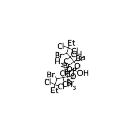 CCC(Cl)(Cl)C(Br)C(C)(C)C(Br)(Br)OP(=O)(O)OC(Br)(Br)C(C)(C)C(Br)C(Cl)(Cl)CC